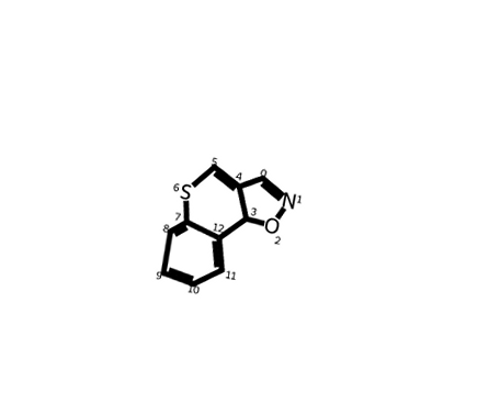 C1=NOC2C1=CSc1ccccc12